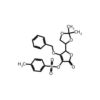 Cc1ccc(S(=O)(=O)OC2=C(OCc3ccccc3)C(C3COC(C)(C)O3)OC2=O)cc1